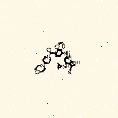 N#Cc1c[nH]c2nc(Nc3ccc(C(=O)N4CCC(N5CCOCC5)CC4)c4c3OCCO4)cc(NC3CC3)c12